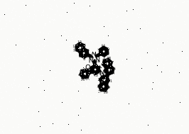 c1ccc(-c2nc(-c3ccc4ccccc4c3)nc(-c3cc(-n4c5cc6ccccc6cc5c5ccc6ccccc6c54)cc4c3oc3ccccc34)n2)cc1